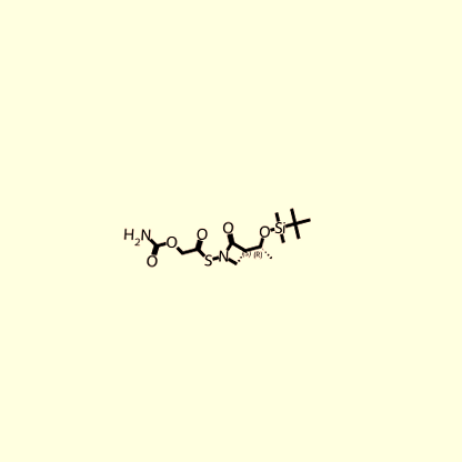 C[C@@H](O[Si](C)(C)C(C)(C)C)[C@@H]1CN(SC(=O)COC(N)=O)C1=O